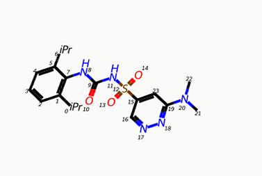 CC(C)c1cccc(C(C)C)c1NC(=O)NS(=O)(=O)c1cnnc(N(C)C)c1